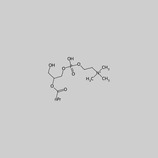 CCCC(=O)OC(CO)COP(=O)(O)OCC[N+](C)(C)C